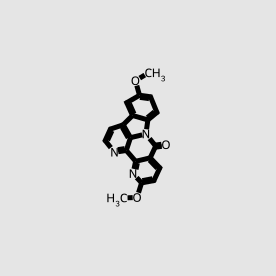 COc1ccc2c(c1)c1ccnc3c4nc(OC)ccc4c(=O)n2c13